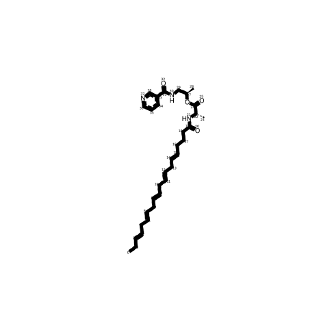 CCC=CCC=CCC=CCC=CCC=CCCCC(=O)N[C@@H](C)C(=O)O[C@H](C)CNC(=O)c1cccnc1